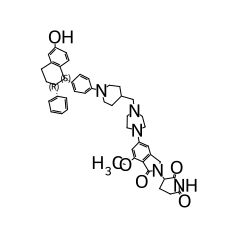 COc1cc(N2CCN(CC3CCN(c4ccc([C@H]5c6ccc(O)cc6CC[C@H]5c5ccccc5)cc4)CC3)CC2)cc2c1C(=O)N(C1CCC(=O)NC1=O)C2